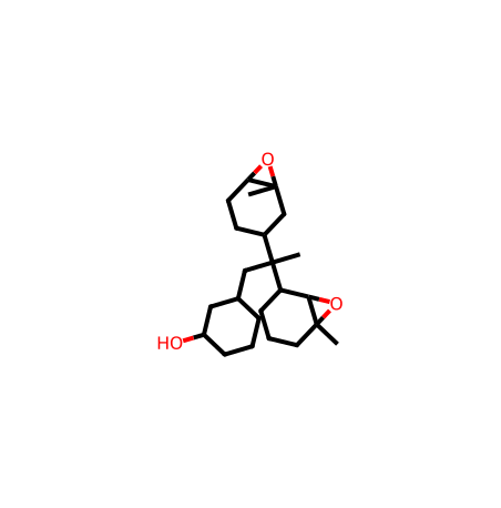 CC12CC(C(C)(CC3CCCC(O)C3)C3CCCC4(C)OC34)CCC1O2